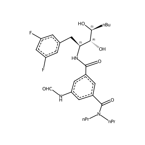 CCCC[C@H](O)[C@H](O)[C@H](Cc1cc(F)cc(F)c1)NC(=O)c1cc(NC=O)cc(C(=O)N(CCC)CCC)c1